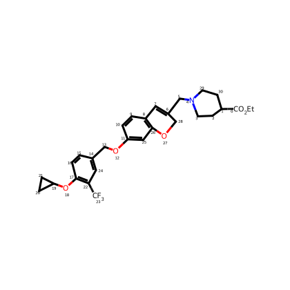 CCOC(=O)C1CCN(CC2=Cc3ccc(OCc4ccc(OC5CC5)c(C(F)(F)F)c4)cc3OC2)CC1